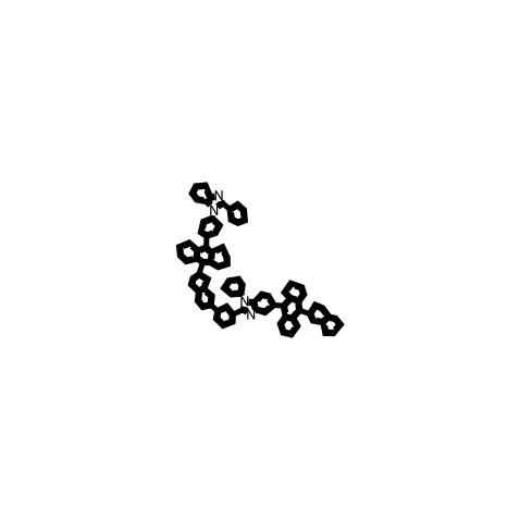 c1ccc(-c2nc3ccccc3n2-c2ccc(-c3c4ccccc4c(-c4ccc5ccc(-c6cccc(-c7nc8cc(-c9c%10ccccc%10c(-c%10ccc%11ccccc%11c%10)c%10ccccc9%10)ccc8n7-c7ccccc7)c6)cc5c4)c4ccccc34)cc2)cc1